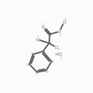 Cl.O=C(OCl)C(Cl)(Cl)c1ccccc1